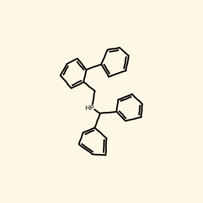 c1ccc(-c2ccccc2CPC(c2ccccc2)c2ccccc2)cc1